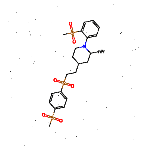 CCCC1CC(CCS(=O)(=O)c2ccc(S(C)(=O)=O)cc2)CCN1c1ccccc1S(C)(=O)=O